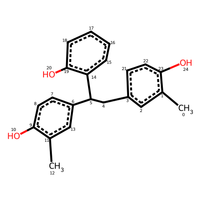 Cc1cc(CC(c2ccc(O)c(C)c2)c2ccccc2O)ccc1O